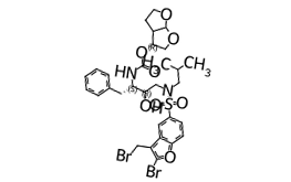 CC(C)CN(C[C@@H](O)[C@H](Cc1ccccc1)NC(=O)O[C@H]1COC2OCCC21)S(=O)(=O)c1ccc2oc(Br)c(CBr)c2c1